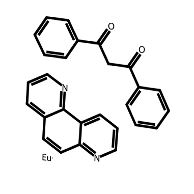 O=C(CC(=O)c1ccccc1)c1ccccc1.[Eu].c1cnc2c(c1)ccc1ncccc12